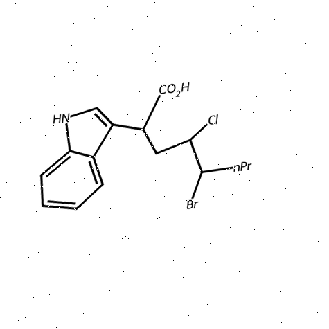 CCCC(Br)C(Cl)CC(C(=O)O)c1c[nH]c2ccccc12